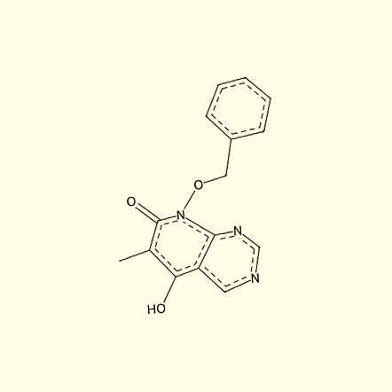 Cc1c(O)c2cncnc2n(OCc2ccccc2)c1=O